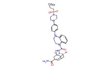 COCCS(=O)(=O)N1CCN(c2ccc(N3CCN(C(=O)NC4[C@@H]5CC6C[C@H]4CC(C(N)=O)(C6)C5)c4ccccc43)cc2)CC1